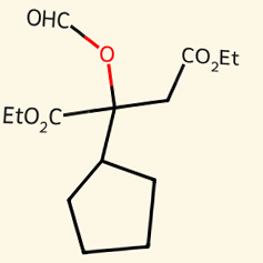 CCOC(=O)CC(OC=O)(C(=O)OCC)C1CCCC1